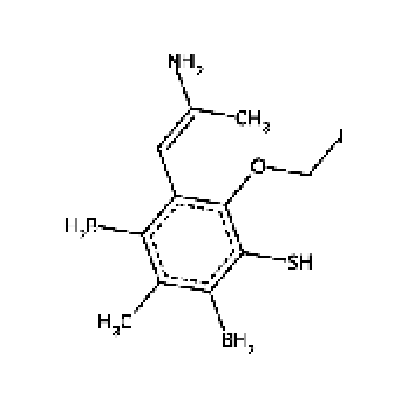 Bc1c(C)c(B)c(/C=C(\C)N)c(OCI)c1S